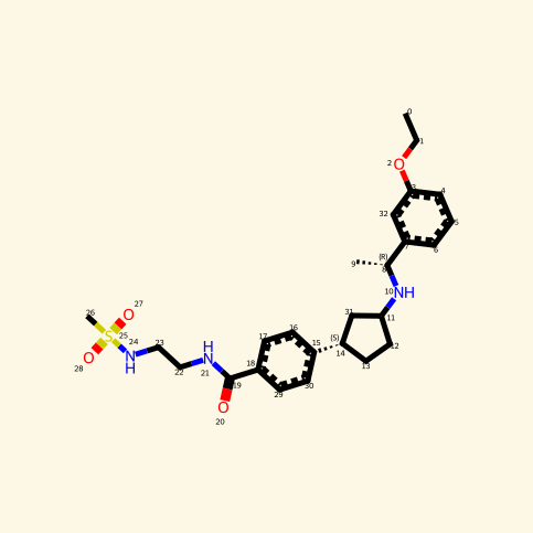 CCOc1cccc([C@@H](C)NC2CC[C@H](c3ccc(C(=O)NCCNS(C)(=O)=O)cc3)C2)c1